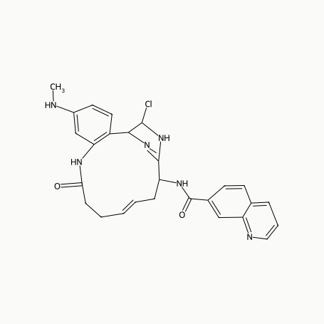 CNc1ccc2c(c1)NC(=O)CC/C=C/CC(NC(=O)c1ccc3cccnc3c1)C1=NC2C(Cl)N1